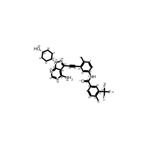 Cc1ccc(NC(=O)c2ccc(C)c(C(F)(F)F)c2)cc1C#Cc1nn([C@H]2CC[C@@H](O)CC2)c2ncnc(N)c12